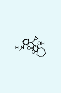 Nc1cccc(C(c2c(O)c3c(oc2=O)CCCCCC3)C2CC2)c1